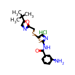 CC(C)(C)c1cnc(CSc2cnc(NC(=O)c3cccc(N)c3)s2)o1.Cl